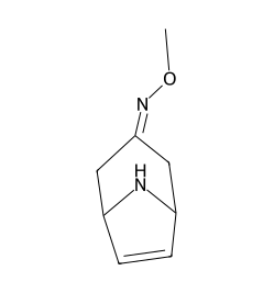 CON=C1CC2C=CC(C1)N2